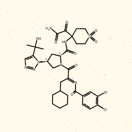 CC(C)(O)c1cnnn1[C@H]1C[C@@H](C(=O)NC2(C(=O)C(N)=O)CCS(=O)(=O)CC2)N(C(=O)/C(CC2CCCCC2)=N/C(=O)c2ccc(Cl)c(Cl)c2)C1